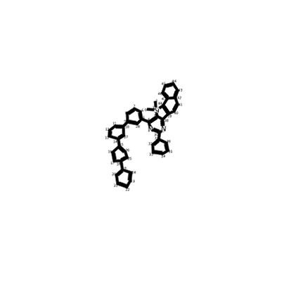 C[Si]1(C)c2c(-c3cccc(-c4cccc(-c5ccc(-c6ccccc6)cc5)c4)c3)nc(-c3ccccc3)nc2-c2ccc3ccccc3c21